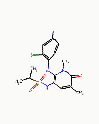 Cc1cc(NS(=O)(=O)C(C)C)c(Nc2ccc(I)cc2F)n(C)c1=O